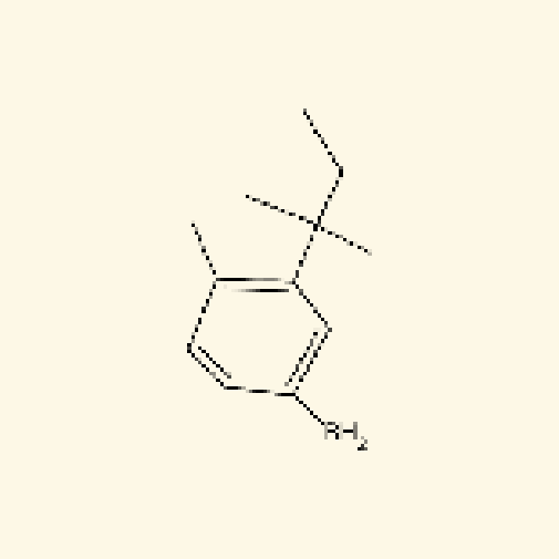 Bc1ccc(C)c(C(C)(C)CC)c1